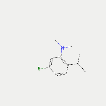 CC(C)c1ccc(F)cc1N(C)C